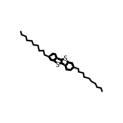 CCCCCCCCCCc1ccc2c(c1)sc1c3ccc(CCCCCCCCCC)cc3sc21